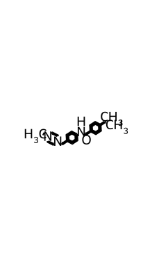 CC(C)c1ccc(C(=O)Nc2ccc(CN3CCN(C)CC3)cc2)cc1